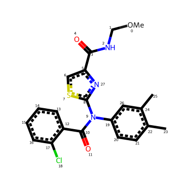 COCNC(=O)c1csc(N(C(=O)c2ccccc2Cl)c2ccc(C)c(C)c2)n1